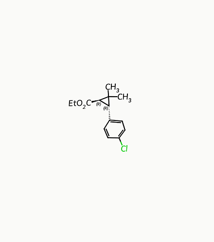 CCOC(=O)[C@@H]1[C@@H](c2ccc(Cl)cc2)C1(C)C